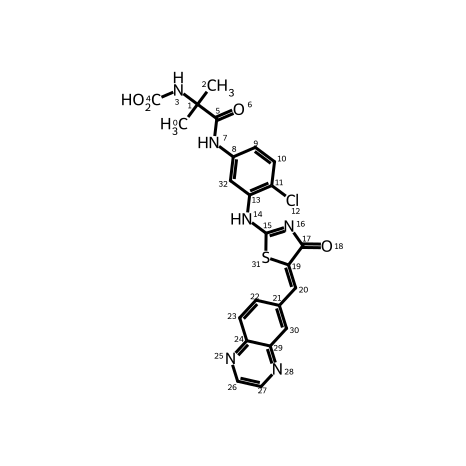 CC(C)(NC(=O)O)C(=O)Nc1ccc(Cl)c(NC2=NC(=O)/C(=C/c3ccc4nccnc4c3)S2)c1